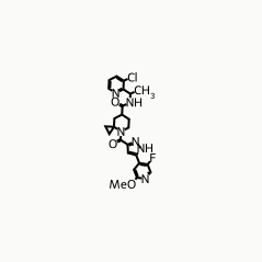 COc1cc(-c2cc(C(=O)N3CCC(C(=O)NC(C)c4ncccc4Cl)CC34CC4)n[nH]2)c(F)cn1